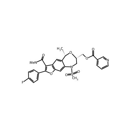 CNC(=O)c1c(-c2ccc(F)cc2)oc2cc3c(cc12)[C@H](C)O[C@H](COC(=O)c1cccnc1)CN3S(C)(=O)=O